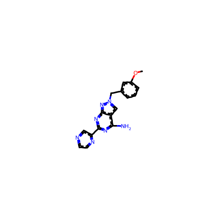 COc1cccc(Cn2cc3c(N)nc(-c4cnccn4)nc3n2)c1